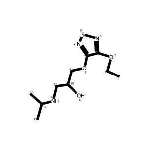 CCOc1nsnc1OCC(O)CNC(C)C